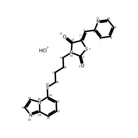 Cl.O=C1S/C(=C\c2ccccn2)C(=O)N1CCCCSc1cccc2nccn12